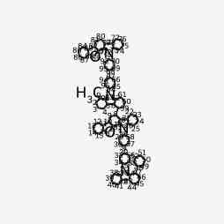 Cc1cccc2c3c(-c4cc5c6ccccc6oc5c5c4c4ccccc4n5-c4ccc(-c5ccc(-n6c7ccccc7c7cccc(-c8ccccc8)c76)cc5)cc4)cccc3n(-c3ccc(-c4ccc(-n5c6ccccc6c6ccc7c8ccccc8oc7c65)cc4)cc3)c12